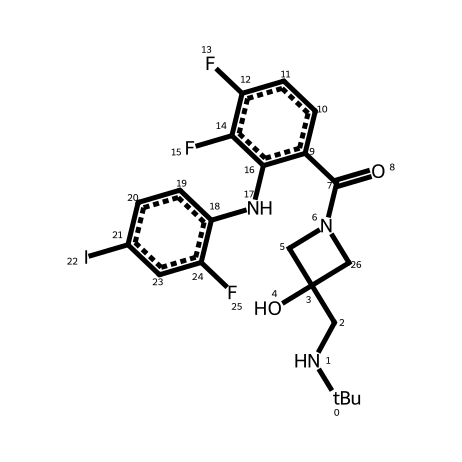 CC(C)(C)NCC1(O)CN(C(=O)c2ccc(F)c(F)c2Nc2ccc(I)cc2F)C1